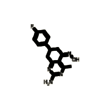 Cc1nc(N)nc2c1/C(=N\O)CC(c1ccc(F)cc1)C2